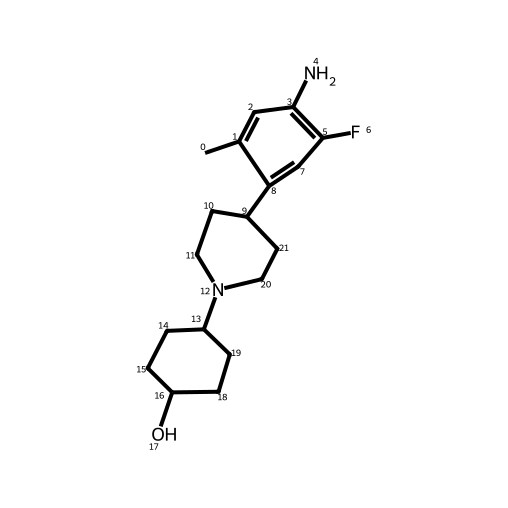 Cc1cc(N)c(F)cc1C1CCN(C2CCC(O)CC2)CC1